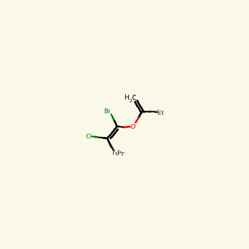 C=C(CC)O/C(Br)=C(/Cl)CCC